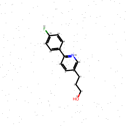 OCCCc1ccc(-c2ccc(F)cc2)nc1